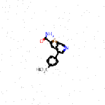 NC(=O)c1cc2c(-c3ccc(C(=O)O)cc3)cncc2s1